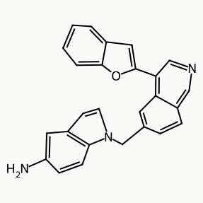 Nc1ccc2c(ccn2Cc2ccc3cncc(-c4cc5ccccc5o4)c3c2)c1